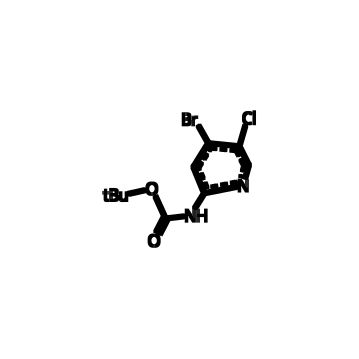 CC(C)(C)OC(=O)Nc1cc(Br)c(Cl)cn1